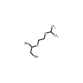 CC(C)(C)CC(OCCOC(C(F)(F)F)C(F)(F)F)C(C)(C)C